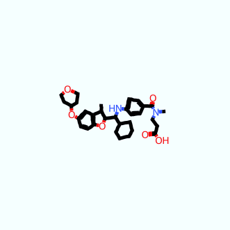 CC1c2cc(OC3CCOCC3)ccc2OC1C(Nc1ccc(C(=O)N(C)CCC(=O)O)cc1)C1CCCCC1